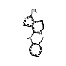 Cc1nnc2c(Nc3ccccc3F)nccn12